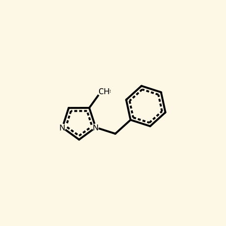 [CH]c1cncn1Cc1ccccc1